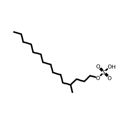 CCCCCCCCCCCC(C)CCCOS(=O)(=O)O